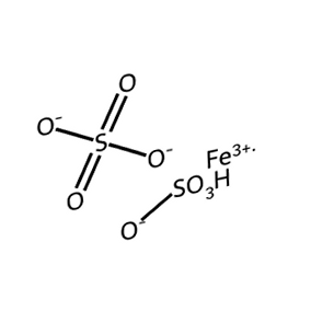 O=S(=O)([O-])O.O=S(=O)([O-])[O-].[Fe+3]